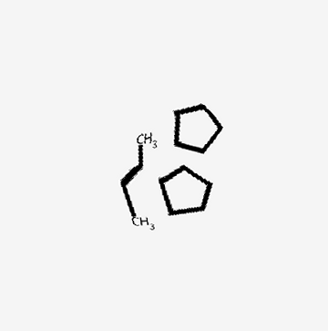 C1CCCC1.C1CCCC1.CCCC